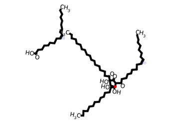 CCCCCCCC/C=C\CCCCCCCC(=O)C(CCCCCCCCCCCCCC)C(=O)C(O)(C(=O)CCCCCCCCCCCCCCCCC)C(O)CO.CCCCCCCC/C=C\CCCCCCCC(=O)O